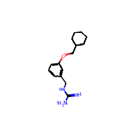 N=C(N)NCc1cccc(OCC2CCCCC2)c1